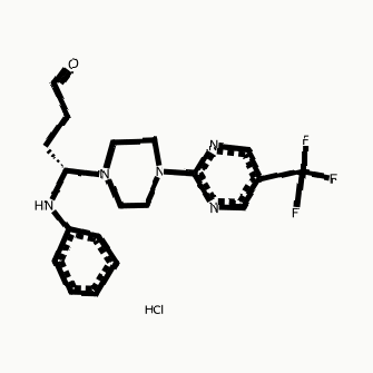 Cl.O=CCC[C@@H](Nc1ccccc1)N1CCN(c2ncc(C(F)(F)F)cn2)CC1